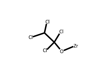 ClC(Cl)C(Cl)(Cl)[O][Zr]